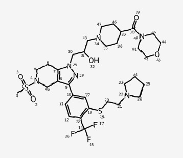 CS(=O)(=O)N1CCc2c(c(-c3ccc(C(F)(F)F)c(SCCN4CCCC4)c3)nn2CC(O)CN2CCC(C(=O)N3CCOCC3)CC2)C1